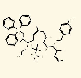 CC/C=C\C(C)[C@H](OCc1ccc(OC)cc1)[C@@H](C)[C@@H]1C(C(C)(C)[Si](C)(C)O)[C@H]([C@@H](OCOC)C(C)C[PH](c2ccccc2)(c2ccccc2)c2ccccc2)C=C(C)C[C@@H]1C